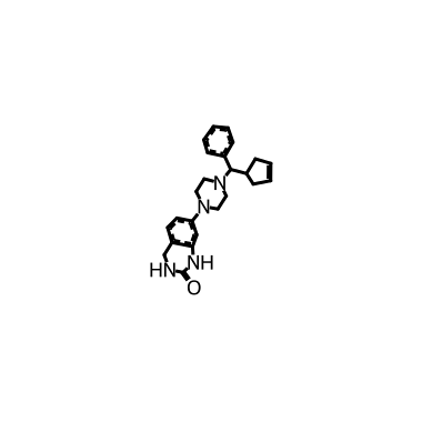 O=C1NCc2ccc(N3CCN(C(c4ccccc4)C4CC=CC4)CC3)cc2N1